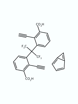 C#Cc1c(C(=O)O)cccc1C(c1cccc(C(=O)O)c1C#C)(C(F)(F)F)C(F)(F)F.c1cc2cc-2c1